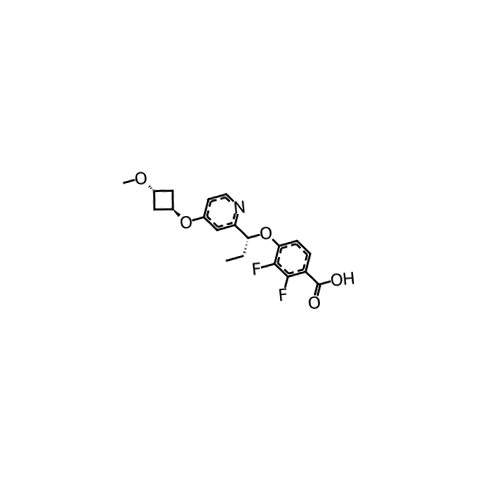 CC[C@@H](Oc1ccc(C(=O)O)c(F)c1F)c1cc(O[C@H]2C[C@H](OC)C2)ccn1